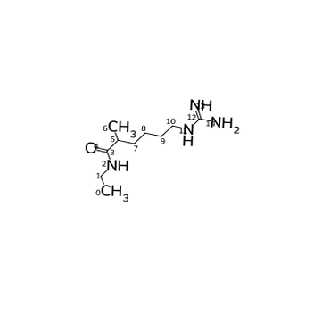 CCNC(=O)C(C)CCCCNC(=N)N